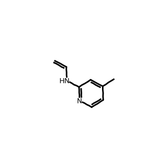 C=CNc1cc(C)ccn1